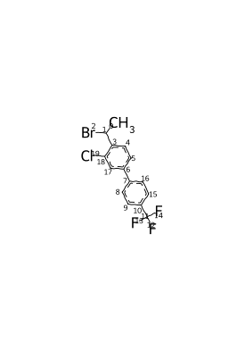 CC(Br)c1ccc(-c2ccc(C(F)(F)F)cc2)cc1Cl